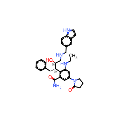 CCNc1cc(N2CCCC2=O)cc(C(N)=O)c1[C@H](Cc1ccccc1)[C@@H](O)CNCc1ccc2[nH]ccc2c1